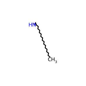 CCCCCCCCCCCCCCCCCCC1CN1